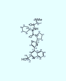 CN[C@@H](C)C(=O)N[C@H](C(=O)N1CCCC1c1nc(-c2cc(C(C)(C)O)nc3ccccc23)cs1)C1CCCCC1